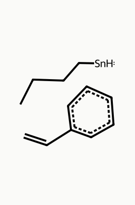 C=Cc1ccccc1.CCC[CH2][SnH]